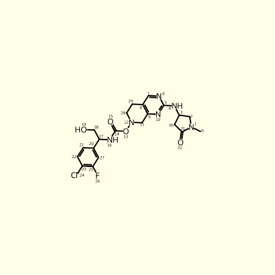 CN1CC(Nc2ncc3c(n2)CN(OC(=O)NC(CO)c2ccc(Cl)c(F)c2)CC3)CC1=O